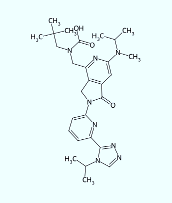 CC(C)N(C)c1cc2c(c(CN(CC(C)(C)C)C(=O)O)n1)CN(c1cccc(-c3nncn3C(C)C)n1)C2=O